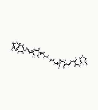 CN1CCc2cc(/C=C/c3cc[n+](CCSSCC[n+]4ccc(/C=C/c5ccc6c(c5)CCN6C)cc4)cc3)ccc21